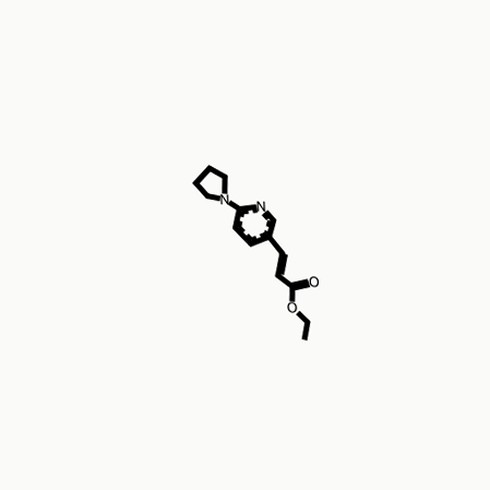 CCOC(=O)C=Cc1ccc(N2CCCC2)nc1